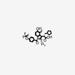 Cc1c([C@H](CC2CCCC2)C(=O)O)c2c(F)c(O)ccc2n1C(=O)c1ccc(OC(F)(F)F)cc1